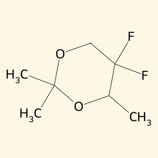 CC1OC(C)(C)OCC1(F)F